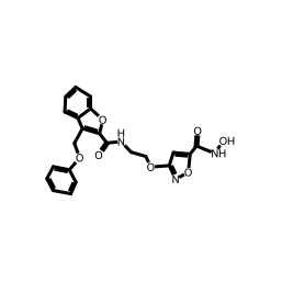 O=C(NO)c1cc(OCCNC(=O)c2oc3ccccc3c2COc2ccccc2)no1